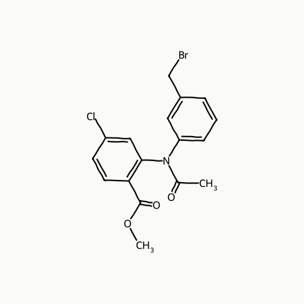 COC(=O)c1ccc(Cl)cc1N(C(C)=O)c1cccc(CBr)c1